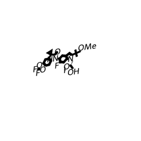 COCC(C)(C)c1cc2cc(NC(=O)C3(c4ccc5c(c4)OC(F)(F)O5)CC3)c(F)cc2n1C[C@H](CO)OI